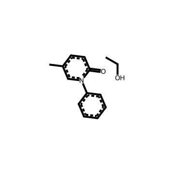 CCO.Cc1ccc(=O)n(-c2ccccc2)c1